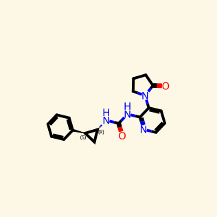 O=C(Nc1ncccc1N1CCCC1=O)N[C@@H]1C[C@H]1c1ccccc1